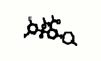 CCN(C(C)=O)c1cc(N2CCCN(C)CC2)ccc1S(=O)(=O)c1cc(F)cc(F)c1